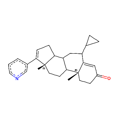 C[C@]12CCC(=O)C=C1C(C1CC1)CC1C2CC[C@]2(C)C(c3cccnc3)=CCC12